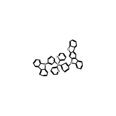 c1ccc([Si](c2cccc(-n3c4ccccc4c4ccccc43)c2)(c2cccc(-n3c4ccccc4c4cc5c(cc43)oc3ccccc35)c2)c2ccccn2)nc1